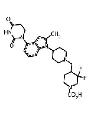 Cc1cc2c(N3CCC(=O)NC3=O)cccc2n1C1CCN(CC2CCN(C(=O)O)CC2(F)F)CC1